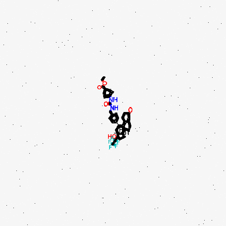 CCOC(=O)c1ccc(NC(=O)NCc2ccc([C@H]3C[C@@]4(C)[C@@H](CC[C@@]4(O)C(F)(F)C(F)(F)F)[C@@H]4CCC5=CC(=O)CCC5=C43)cc2)cc1